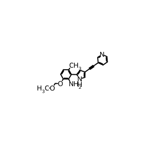 COCOc1ccc(C)c(-c2cc(C#Cc3cccnc3)c[nH]2)c1N